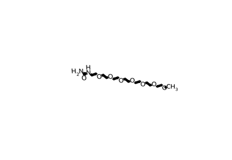 COCCOCCOCCOCCOCCOCCOCCNC(N)=O